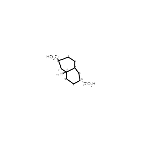 O=C(O)C1CCC2C[C@H](C(=O)O)CC[C@@H]2C1